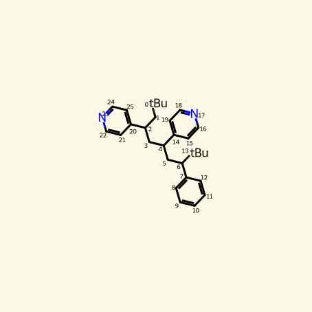 CC(C)(C)CC(CC(CC(c1ccccc1)C(C)(C)C)c1ccncc1)c1ccncc1